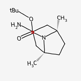 CC(C)(C)OC(=O)N1[C@@]2(C)CC[C@]1(C)CC(N)C2